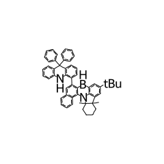 CC(C)(C)c1cc2c3c(c1)C1(C)CCCCC1(C)N3c1c(c(-c3cccc4c3Nc3ccccc3C4(c3ccccc3)c3ccccc3)cc3ccccc13)B2